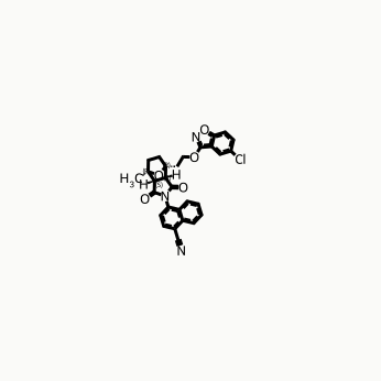 C[C@]12CC[C@](CCOc3noc4ccc(Cl)cc34)(O1)[C@@H]1C(=O)N(c3ccc(C#N)c4ccccc34)C(=O)[C@@H]12